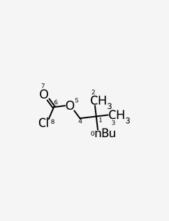 CCCCC(C)(C)COC(=O)Cl